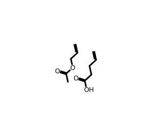 C=CCCC(=O)O.C=CCOC(C)=O